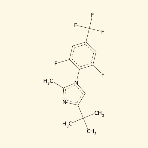 Cc1nc(C(C)(C)C)cn1-c1c(F)cc(C(F)(F)F)cc1F